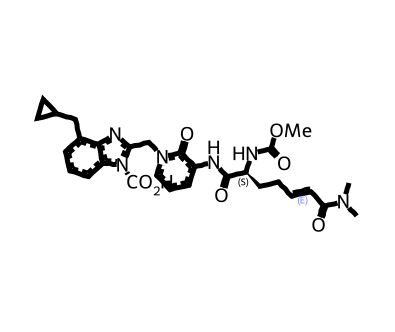 COC(=O)N[C@@H](CC/C=C/C(=O)N(C)C)C(=O)Nc1cccn(Cc2nc3c(CC4CC4)cccc3n2C(=O)O)c1=O